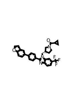 O=C(C1CC1)N1CC[C@H](Cn2c(-c3ccc(-c4ccc5occc5c4)cc3)nc3ccc(C(F)(F)F)cc32)C1